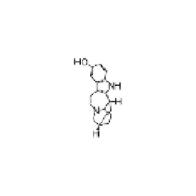 Oc1ccc2[nH]c3c(c2c1)CCN1C[C@H]2CCC1[C@H]3C2